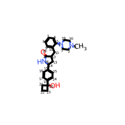 CN1CCN(c2ccccc2CC2CC(c3ccc(C4(O)CCC4)cc3)NC2=O)CC1